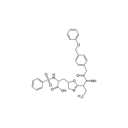 CCC(C(=N)C(=O)Cc1ccc(COc2ccccc2)cc1)C1=NCC(CC(NS(=O)(=O)c2ccccc2)C(=O)O)O1